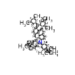 Cc1cc(C)cc(B(c2cc(C)cc(C)c2)c2ccc3ccc4c(N(c5ccc([Si](C)(C)C)cc5)c5ccc([Si](C)(C)C)cc5)ccc5ccc2c3c54)c1